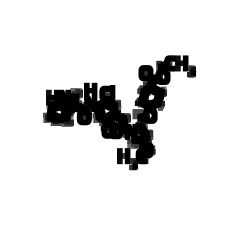 CCOC(=O)C1CCC(OC[C@@H]2C[C@H](OC)CN2C(=O)Cc2cc(Cl)c(NC(=O)c3c[nH]c4ccccc34)cc2Cl)CC1